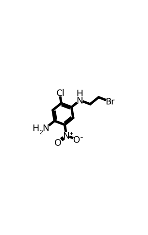 Nc1cc(Cl)c(NCCBr)cc1[N+](=O)[O-]